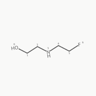 OCCNCCF